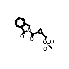 CS(=O)(=O)OCC1CC1C(=O)N1Cc2ccccc2C1=O